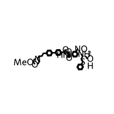 COC1CN(CCCc2ccc(-c3ccc(C(=O)NS(=O)(=O)c4ccc(N[C@H](CCO)CSc5ccccc5)c([N+](=O)[O-])c4)cc3)cc2)CCO1